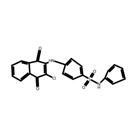 O=C1C(Cl)=C(Nc2ccc(S(=O)(=O)Nc3ccccc3)cc2)C(=O)c2ccccc21